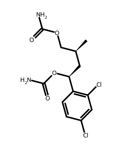 C[C@H](COC(N)=O)C[C@H](OC(N)=O)c1ccc(Cl)cc1Cl